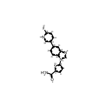 NC(=O)c1ccc(-n2cnc3cc(-c4ccc(F)nc4)ccc32)s1